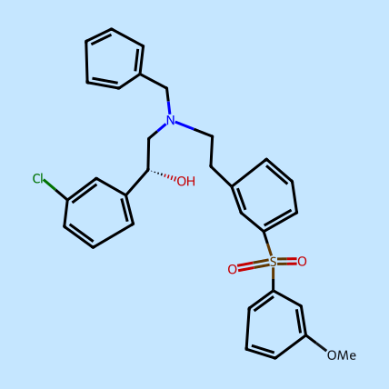 COc1cccc(S(=O)(=O)c2cccc(CCN(Cc3ccccc3)C[C@H](O)c3cccc(Cl)c3)c2)c1